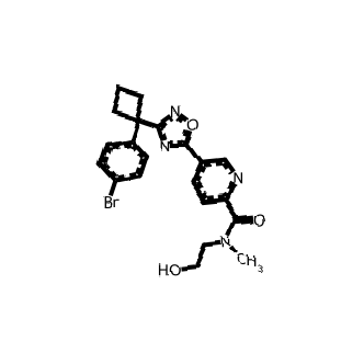 CN(CCO)C(=O)c1ccc(-c2nc(C3(c4ccc(Br)cc4)CCC3)no2)cn1